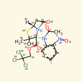 CC(=O)N(c1ccccc1N=O)[C@@]1(C(=O)OCC(Cl)(Cl)Cl)N2C(=O)C[C@H]2SC1(C)C